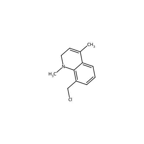 CC1=CCN(C)c2c(CCl)cccc21